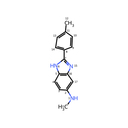 CNc1ccc2[nH]c(-c3ccc(C)cc3)nc2c1